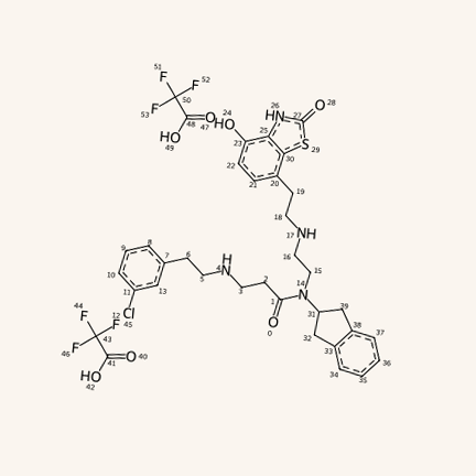 O=C(CCNCCc1cccc(Cl)c1)N(CCNCCc1ccc(O)c2[nH]c(=O)sc12)C1Cc2ccccc2C1.O=C(O)C(F)(F)F.O=C(O)C(F)(F)F